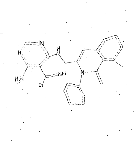 C=C1c2c(C)cccc2C=C(CNc2ncnc(N)c2C(=N)CC)N1c1ccccc1